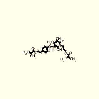 C=C(C)C(=O)OCCCn1c(O)c(NNc2ccc(CCOC(=O)C(=C)C)cc2)c(C)c(C#N)c1=O